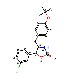 CC(C)(C)Oc1ccc(CC2NC(=O)OC2c2cccc(Cl)c2)cc1